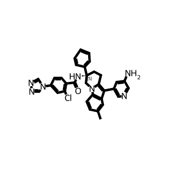 Cc1ccc2c(c1)c(-c1cncc(N)c1)c1n2C[C@@](NC(=O)c2ccc(-n3cnnc3)cc2Cl)(c2ccccc2)CC1